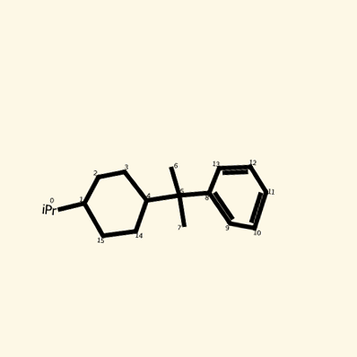 CC(C)C1CCC(C(C)(C)c2ccccc2)CC1